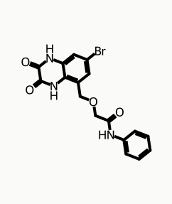 O=C(COCc1cc(Br)cc2[nH]c(=O)c(=O)[nH]c12)Nc1ccccc1